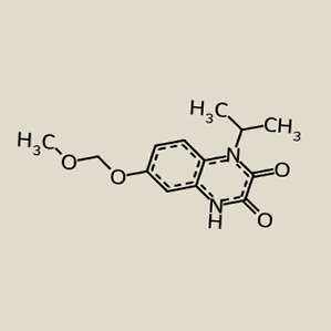 COCOc1ccc2c(c1)[nH]c(=O)c(=O)n2C(C)C